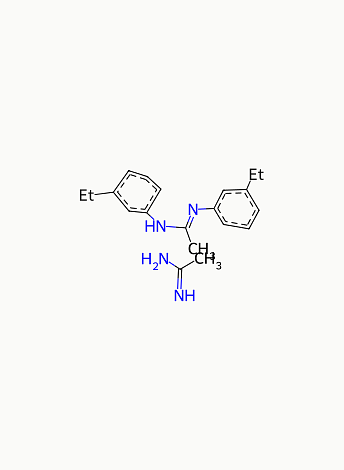 CC(=N)N.CCc1cccc(/N=C(\C)Nc2cccc(CC)c2)c1